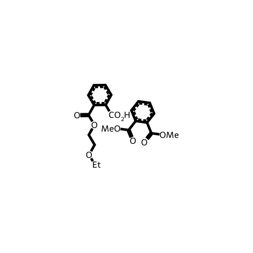 CCOCCOC(=O)c1ccccc1C(=O)O.COC(=O)c1ccccc1C(=O)OC